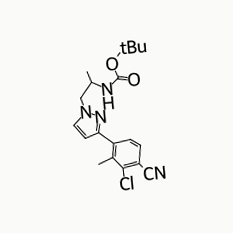 Cc1c(-c2ccn(CC(C)NC(=O)OC(C)(C)C)n2)ccc(C#N)c1Cl